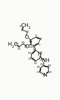 C=CCOc1cccc(-c2cccc(Nc3ccncc3)n2)c1OCC=C